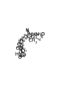 Cc1c(OCC2CCCCC(=O)CN2)nc(C#N)c2c1CC(CN1CCC3(CC1)CN(c1ccc4c(n1)NC(=O)CO4)C(=O)O3)C2